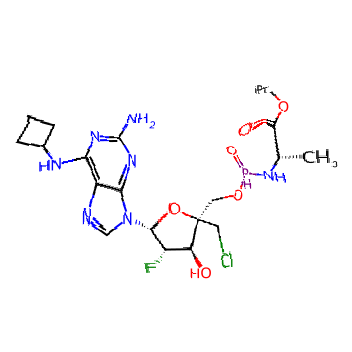 CC(C)OC(=O)[C@H](C)N[PH](=O)OC[C@@]1(CCl)O[C@@H](n2cnc3c(NC4CCC4)nc(N)nc32)[C@@H](F)[C@@H]1O